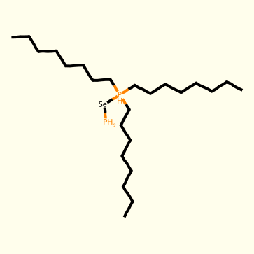 CCCCCCCC[PH](CCCCCCCC)(CCCCCCCC)[Se]P